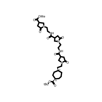 COC(=O)C1CC(=O)N(CCNC(=O)C2CC(=O)N(CCNC(=O)C3CC(=O)N(CC[C@H]4CCC[C@@H](C(=O)OC(C)(C)C)CC4)C3)C2)C1